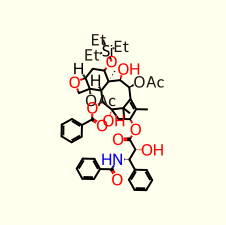 CC[Si](CC)(CC)OC1C[C@H]2OC[C@@]2(OC(C)=O)[C@H]2[C@H](OC(=O)c3ccccc3)[C@]3(O)C[C@H](OC(=O)[C@H](O)[C@@H](NC(=O)c4ccccc4)c4ccccc4)C(C)=C([C@H](OC(C)=O)[C@H](O)[C@]12C)C3(C)C